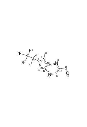 Cn1c(C(C)(C)C(F)(F)F)cc2ncc(C=O)nc21